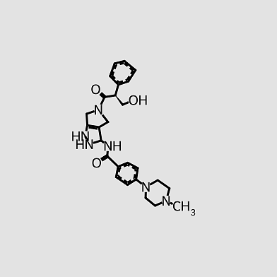 CN1CCN(c2ccc(C(=O)NC3NNC4=C3CN(C(=O)[C@H](CO)c3ccccc3)C4)cc2)CC1